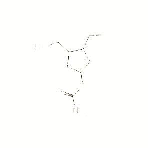 NC(=O)OC1CC(CO)C(CO)C1